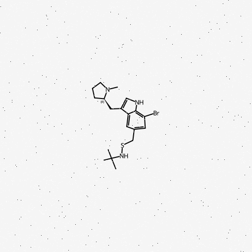 CN1CCC[C@@H]1Cc1c[nH]c2c(Br)cc(CSNC(C)(C)C)cc12